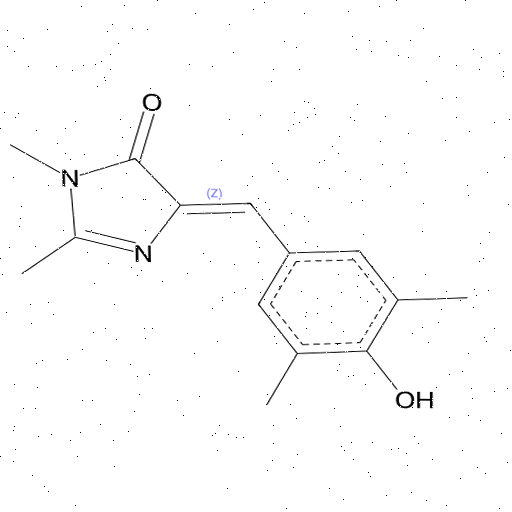 CC1=N/C(=C\c2cc(C)c(O)c(C)c2)C(=O)N1C